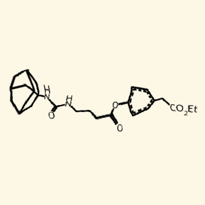 CCOC(=O)Cc1ccc(OC(=O)CCCNC(=O)NC23CC4CC(CC(C4)C2)C3)cc1